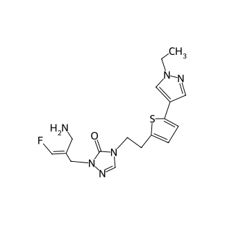 CCn1cc(-c2ccc(CCn3cnn(C/C(=C/F)CN)c3=O)s2)cn1